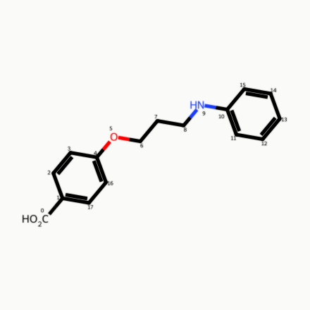 O=C(O)c1ccc(OCCCNc2ccccc2)cc1